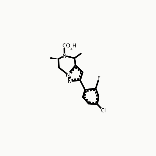 CC1c2cc(-c3ccc(Cl)cc3F)nn2C[C@@H](C)N1C(=O)O